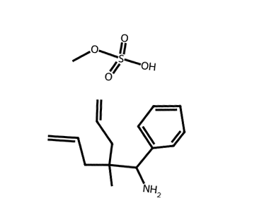 C=CCC(C)(CC=C)C(N)c1ccccc1.COS(=O)(=O)O